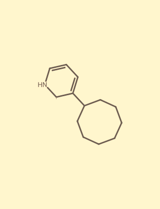 [CH]1NC=CC=C1C1CCCCCCC1